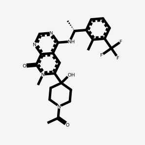 CC(=O)N1CCC(O)(c2cc3c(N[C@H](C)c4cccc(C(F)(F)F)c4C)ncnc3c(=O)n2C)CC1